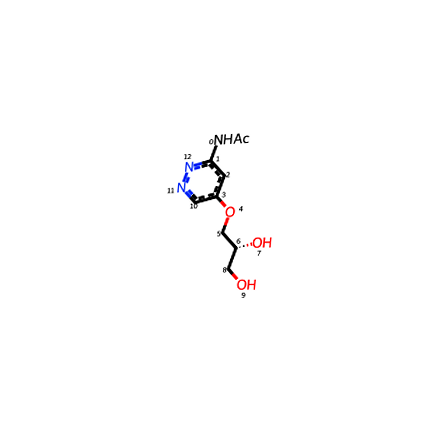 CC(=O)Nc1cc(OC[C@H](O)CO)cnn1